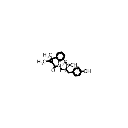 CC1=C(C(=O)NC[C@H](Cc2ccc(O)cc2)N(C)C)[C@]1(C)c1ccccc1